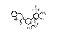 Nc1c(Cl)cc(C2CC(N3CCc4ccccc4NC3=O)CC[N@@+]2(C(=O)[O-])C(=O)O)cc1C(F)(F)F